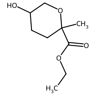 CCOC(=O)C1(C)CCC(O)CO1